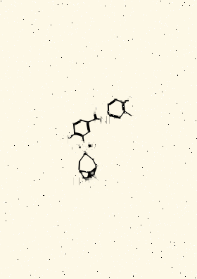 Cc1cc(NC(=O)c2ccc(Cl)c(S(=O)(=O)C3CC4C[C@H](C)C(C3)[C@]4(C)O)c2)ccc1F